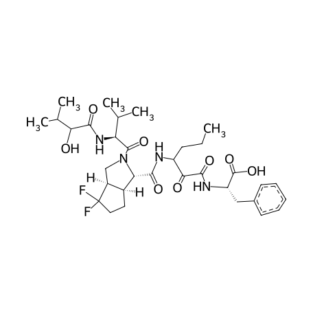 CCCC(NC(=O)[C@@H]1[C@H]2CCC(F)(F)[C@H]2CN1C(=O)[C@@H](NC(=O)C(O)C(C)C)C(C)C)C(=O)C(=O)N[C@@H](Cc1ccccc1)C(=O)O